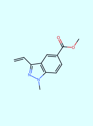 C=Cc1nn(C)c2ccc(C(=O)OC)cc12